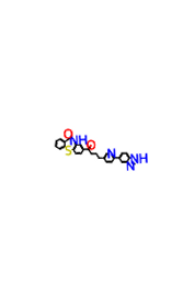 O=C(CCCc1ccc(-c2ccc3[nH]cnc3c2)nc1)c1ccc2c(c1)NC(=O)c1ccccc1S2